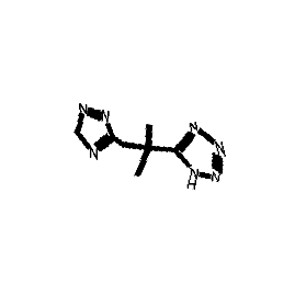 CC(C)(C1=NCN=N1)c1nnn[nH]1